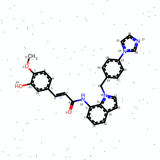 COc1ccc(/C=C/C(=O)Nc2cccc3ccn(Cc4ccc(-n5ccnc5)cc4)c23)cc1O